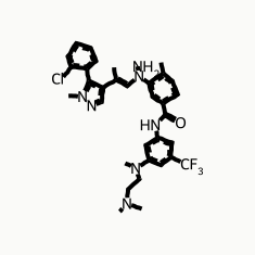 C/C(=C\N(N)c1cc(C(=O)Nc2cc(N(C)CCN(C)C)cc(C(F)(F)F)c2)ccc1C)c1cnn(C)c1-c1ccccc1Cl